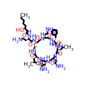 CCCCCC(O)CC(=O)N[C@H](CCN)C(=O)N[C@H]1CCNC(=O)[C@H](CC(C)C)NC(=O)[C@H](CCN)NC(=O)[C@H](CCN)NC(=O)[C@H](CC(C)C)NC(=O)[C@@H](Cc2ccccc2)NC(=O)[C@H](CCN)NC1=O